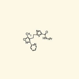 CCCNC(=O)c1cnc(CCc2c(-c3ccccn3)noc2C)s1